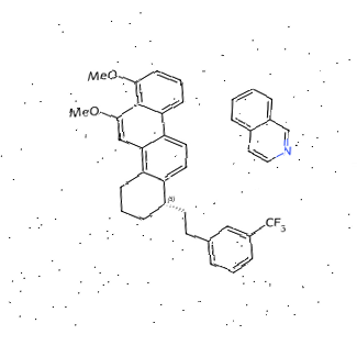 COc1cccc2c1c(OC)cc1c3c(ccc12)[C@H](CCc1cccc(C(F)(F)F)c1)CCC3.c1ccc2cnccc2c1